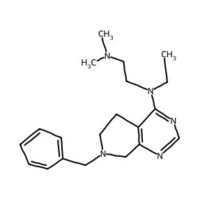 CCN(CCN(C)C)c1ncnc2c1CCN(Cc1ccccc1)C2